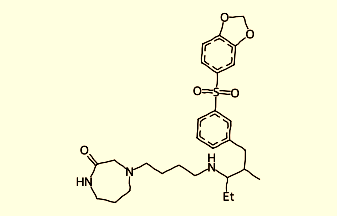 CCC(NCCCCN1CCCNC(=O)C1)C(C)Cc1cccc(S(=O)(=O)c2ccc3c(c2)OCO3)c1